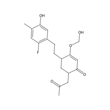 CC(=O)CC1CC(CCc2cc(O)c(C)cc2F)C(OCO)=CC1=O